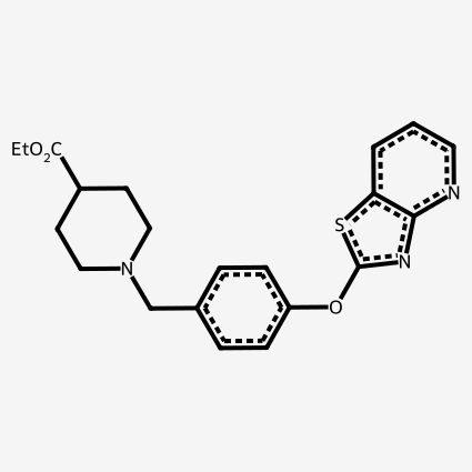 CCOC(=O)C1CCN(Cc2ccc(Oc3nc4ncccc4s3)cc2)CC1